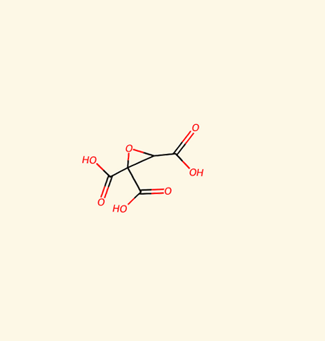 O=C(O)C1OC1(C(=O)O)C(=O)O